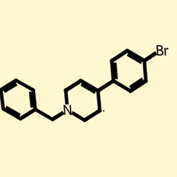 Brc1ccc(C2=CCN(Cc3ccccc3)C[CH]2)cc1